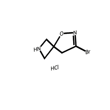 BrC1=NOC2(CNC2)C1.Cl